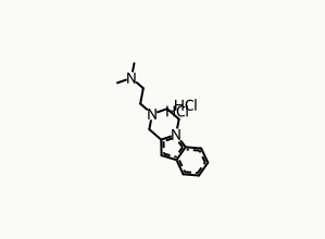 CN(C)CCN1CCn2c(cc3ccccc32)C1.Cl.Cl